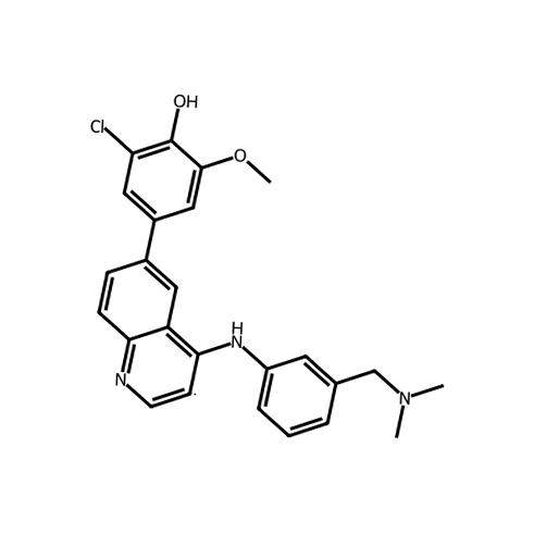 COc1cc(-c2ccc3nc[c]c(Nc4cccc(CN(C)C)c4)c3c2)cc(Cl)c1O